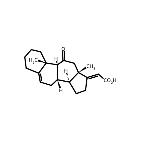 C[C@]12CCCCC1=CC[C@@H]1[C@@H]2C(=O)C[C@]2(C)C(=CC(=O)O)CC[C@@H]12